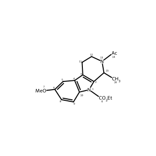 CCOC(=O)n1c2c(c3cc(OC)ccc31)CCN(C(C)=O)C2C